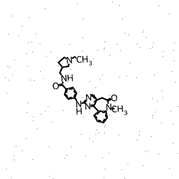 CCN1CCC(CNC(=O)c2ccc(Nc3ncc4c(n3)-c3ccccc3N(C)C(=O)C4)cc2)C1